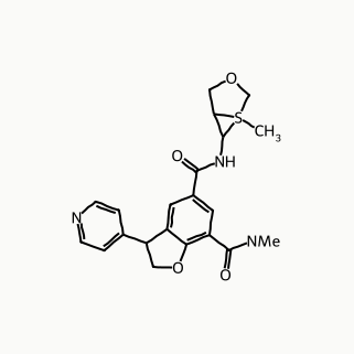 CNC(=O)c1cc(C(=O)NC2C3COCS32C)cc2c1OCC2c1ccncc1